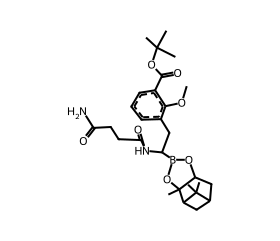 COc1c(CC(NC(=O)CCC(N)=O)B2OC3CC4CC(C4(C)C)C3(C)O2)cccc1C(=O)OC(C)(C)C